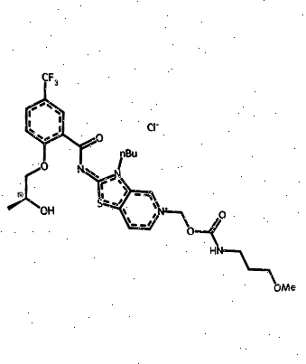 CCCCn1c(=NC(=O)c2cc(C(F)(F)F)ccc2OC[C@H](C)O)sc2cc[n+](COC(=O)NCCCOC)cc21.[Cl-]